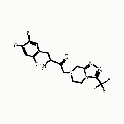 NC(Cc1cc(F)c(F)cc1F)C(=O)CN1CCn2c(nnc2C(F)(F)F)C1